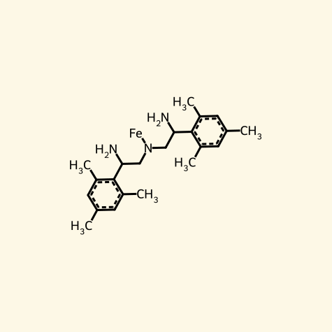 Cc1cc(C)c(C(N)C[N]([Fe])CC(N)c2c(C)cc(C)cc2C)c(C)c1